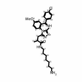 COc1ccc(-n2c(C)nnc2CC(C)C(=O)NCCCCCCCN)c(C(=N)c2ccc(Cl)cc2)c1